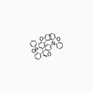 O=P1(c2ccccc2)c2ccccc2C2(c3ccccc3Oc3cc(N4c5ccccc5Oc5ccccc54)ccc32)c2cc3c(cc21)oc1ccccc13